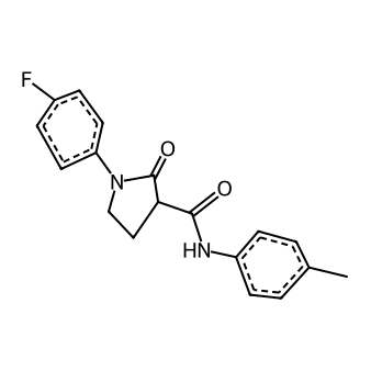 Cc1ccc(NC(=O)C2CCN(c3ccc(F)cc3)C2=O)cc1